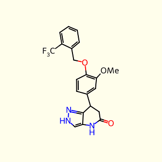 COc1cc(C2CC(=O)Nc3c[nH]nc32)ccc1OCc1ccccc1C(F)(F)F